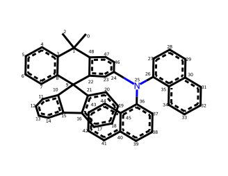 CC1(C)c2ccccc2C2(c3ccccc3-c3ccccc32)c2cc(N(c3cccc4ccccc34)c3cccc4ccccc34)ccc21